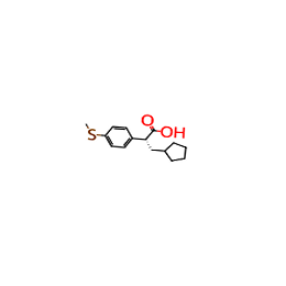 CSc1ccc([C@@H](CC2CCCC2)C(=O)O)cc1